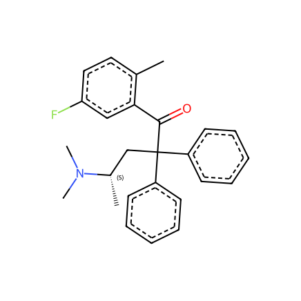 Cc1ccc(F)cc1C(=O)C(C[C@H](C)N(C)C)(c1ccccc1)c1ccccc1